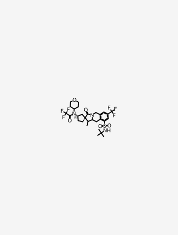 CC1C2Cc3c(cc(C(F)(F)F)cc3S(=O)(=O)NC(C)(C)C)CN2C(=O)[C@]12CC[C@@H](N(C(=O)C(F)(F)F)C1CCOCC1)C2